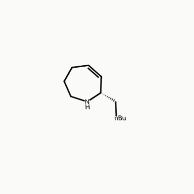 CCCCC[C@H]1C=CCCCN1